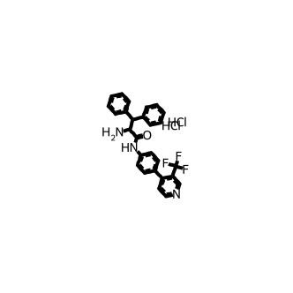 Cl.Cl.NC(C(=O)Nc1ccc(-c2ccncc2C(F)(F)F)cc1)C(c1ccccc1)c1ccccc1